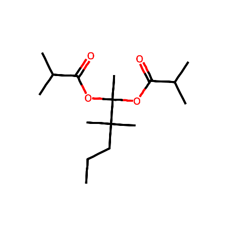 CCCC(C)(C)C(C)(OC(=O)C(C)C)OC(=O)C(C)C